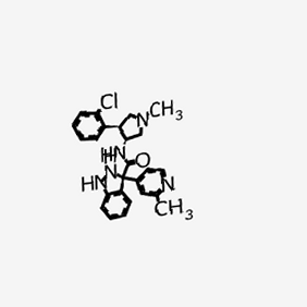 Cc1cc(C2(C(=O)N[C@H]3CN(C)C[C@@H]3c3ccccc3Cl)NNc3ccccc32)ccn1